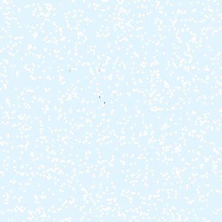 O=S(=O)(Cl)N1Cc2ccccc2C1